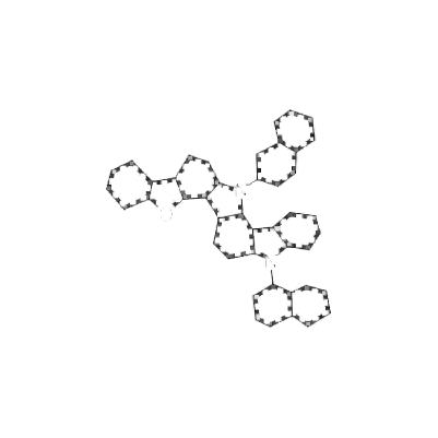 c1ccc2cc(-n3c4ccc5c6ccccc6oc5c4c4ccc5c(c6ccccc6n5-c5cccc6ccccc56)c43)ccc2c1